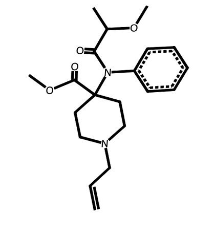 C=CCN1CCC(C(=O)OC)(N(C(=O)C(C)OC)c2ccccc2)CC1